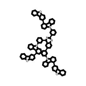 c1cc(-c2ccc3nc(-c4cccc(-n5c6ccccc6c6c(-c7ccc8oc9ccccc9c8c7)cccc65)c4)nc(-c4cccc(-n5c6ccccc6c6c(-c7ccc8oc9ccccc9c8c7)cccc65)c4)c3c2)cc(-n2c3ccccc3c3c(-c4ccc5oc6ccccc6c5c4)cccc32)c1